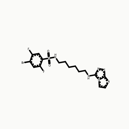 O=S(=O)(NCCCCCCNc1nsc2nccn12)c1cc(F)c(Br)cc1F